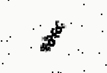 CCC(CC)(c1ccc(OC)c(F)c1)c1c[nH]c2c(NS(C)(=O)=O)cccc12